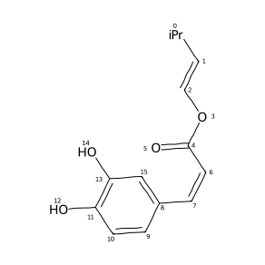 CC(C)C=COC(=O)/C=C\c1ccc(O)c(O)c1